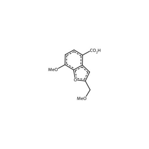 COCc1cc2c(C(=O)O)ccc(OC)c2o1